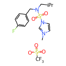 CC(C)CN(Cc1ccc(F)cc1)S(=O)(=O)n1cc[n+](C)c1.O=S(=O)([O-])C(F)(F)F